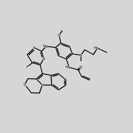 C=CC(=O)Nc1cc(Nc2ncc(F)c(-c3c4n(c5ccccc35)CCOC4)n2)c(OC)cc1N(C)CCNC